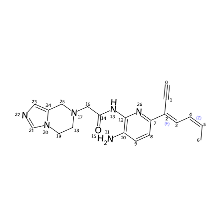 C#C/C(=C\C=C/C)c1ccc(N)c(NC(=O)CN2CCn3cncc3C2)n1